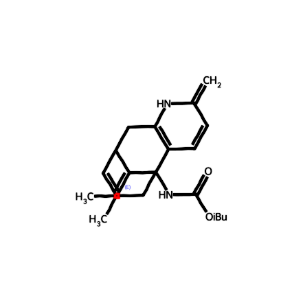 C=C1C=CC2=C(CC3C=C(C)CC2(NC(=O)OCC(C)C)/C3=C/C)N1